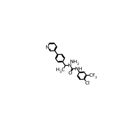 CC(c1ccc(-c2cccnc2)cc1)N(N)C(=O)Nc1ccc(Cl)c(C(F)(F)F)c1